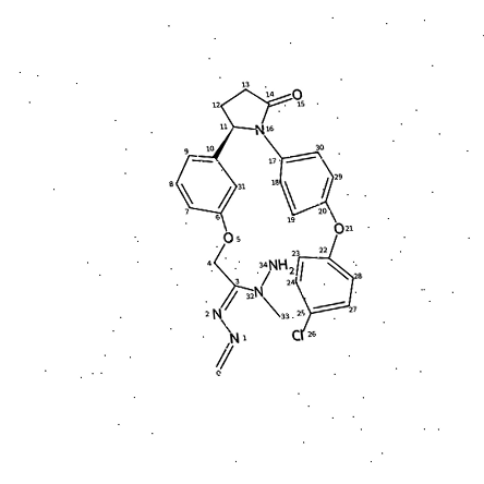 C=N/N=C(/COc1cccc([C@H]2CCC(=O)N2c2ccc(Oc3ccc(Cl)cc3)cc2)c1)N(C)N